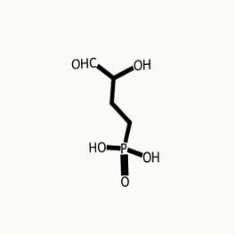 O=CC(O)CCP(=O)(O)O